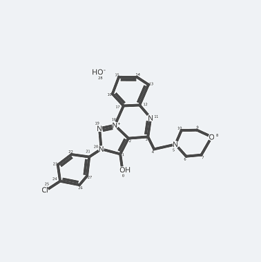 Oc1c2c(CN3CCOCC3)nc3ccccc3[n+]2nn1-c1ccc(Cl)cc1.[OH-]